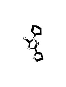 O=c1oc(-c2cccs2)nn1-c1ccccc1